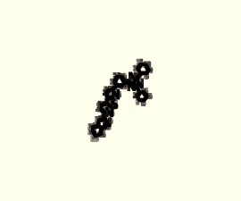 c1ccc(-c2nc(-c3ccccc3)nc(-c3cccc(-c4ccc5c(n4)sc4nc(-c6cc7ccccc7cn6)ccc45)c3)n2)cc1